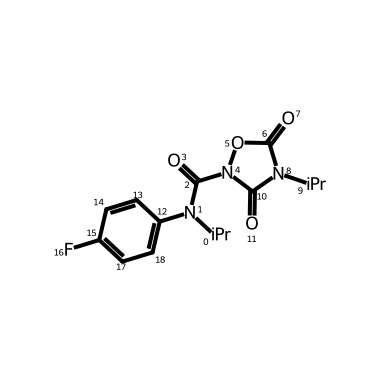 CC(C)N(C(=O)n1oc(=O)n(C(C)C)c1=O)c1ccc(F)cc1